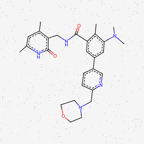 Cc1cc(C)c(CNC(=O)c2cc(-c3ccc(CN4CCOCC4)nc3)cc(N(C)C)c2C)c(=O)[nH]1